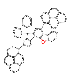 c1ccc(C2(c3ccccc3)c3cc(-c4ccc5ccc6cccc7ccc4c5c67)ccc3-c3c2cc(-c2ccc4ccc5cccc6ccc2c4c56)c2c3oc3ccccc32)cc1